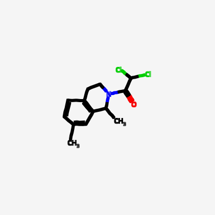 Cc1ccc2c(c1)C(C)N(C(=O)C(Cl)Cl)CC2